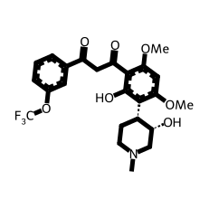 COc1cc(OC)c([C@H]2CCN(C)C[C@H]2O)c(O)c1C(=O)CC(=O)c1cccc(OC(F)(F)F)c1